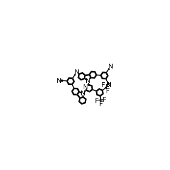 N#Cc1cc(C#N)cc(-c2ccc3c4ccccc4n(-c4cc(-c5cc(C(F)(F)F)cc(C(F)(F)F)c5)cc(-n5c6ccccc6c6ccc(-c7cc(C#N)cc(C#N)c7)cc65)n4)c3c2)c1